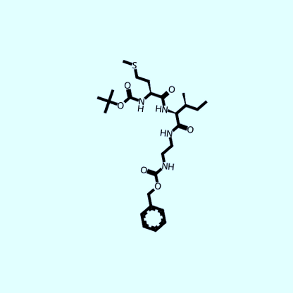 CC[C@H](C)[C@H](NC(=O)[C@H](CCSC)NC(=O)OC(C)(C)C)C(=O)NCCNC(=O)OCc1ccccc1